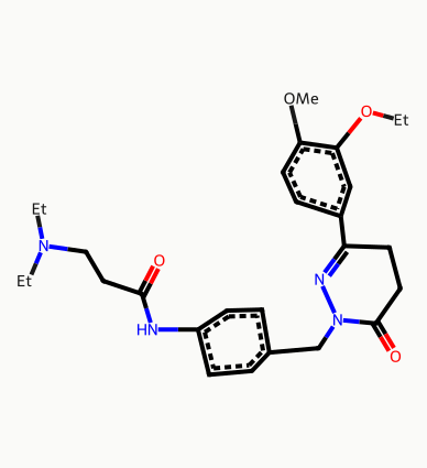 CCOc1cc(C2=NN(Cc3ccc(NC(=O)CCN(CC)CC)cc3)C(=O)CC2)ccc1OC